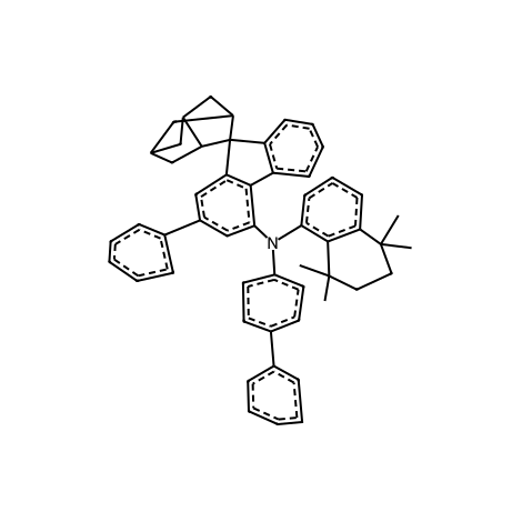 CC1(C)CCC(C)(C)c2c(N(c3ccc(-c4ccccc4)cc3)c3cc(-c4ccccc4)cc4c3-c3ccccc3C43C4CC5CC(C4)C3C5)cccc21